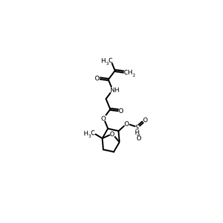 C=C(C)C(=O)NCC(=O)OC1C(O[SH](=O)=O)C2CCC1(C)O2